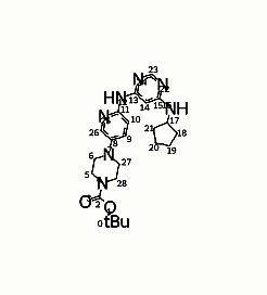 CC(C)(C)OC(=O)N1CCN(c2ccc(Nc3cc(NC4CCCC4)ncn3)nc2)CC1